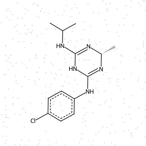 CC(C)NC1=N[C@H](C)N=C(Nc2ccc(Cl)cc2)N1